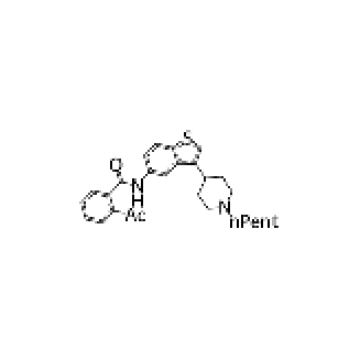 CCCCCN1CCC(c2csc3ccc(NC(=O)c4ccccc4C(C)=O)cc23)CC1